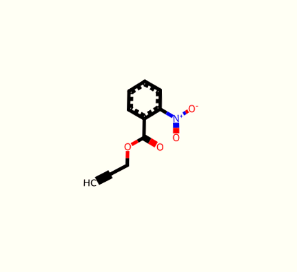 C#CCOC(=O)c1ccccc1[N+](=O)[O-]